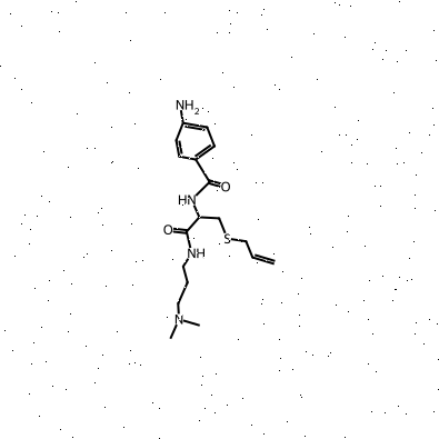 C=CCSCC(NC(=O)c1ccc(N)cc1)C(=O)NCCCN(C)C